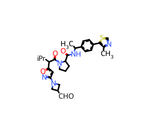 Cc1ncsc1-c1ccc(C(C)NC(=O)C2CCCN2C(=O)C(c2cc(N3CC(C=O)C3)no2)C(C)C)cc1